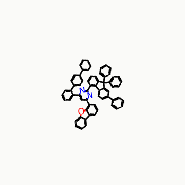 c1ccc(-c2ccc(-c3ccccc3-c3cc(-c4cccc5c4oc4ccccc45)nc(-c4cccc5c4-c4ccc(-c6ccccc6)cc4C5(c4ccccc4)c4ccccc4)n3)cc2)cc1